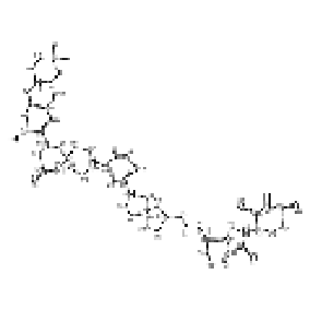 CC1(C)CCN(Cc2cc(F)c(N3CC(=O)NC4(CCN(c5cc(N6CC[C@@]7(CCN(CCNc8cccc9c8CN(C8CCC(=O)NC8=O)C9=O)C7)C6)ncn5)CC4)C3)cc2F)CC1